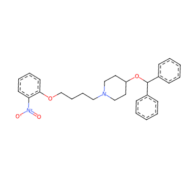 O=[N+]([O-])c1ccccc1OCCCCN1CCC(OC(c2ccccc2)c2ccccc2)CC1